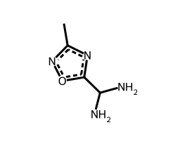 Cc1noc(C(N)N)n1